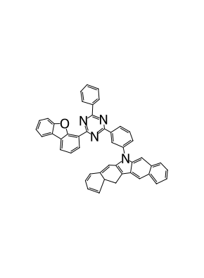 C1=CC2=Cc3c(c4cc5ccccc5cc4n3-c3cccc(-c4nc(-c5ccccc5)nc(-c5cccc6c5oc5ccccc56)n4)c3)CC2C=C1